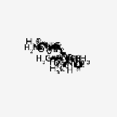 CCCC(=O)OCN(CCCc1nc(C(=O)NCC[C@H](C)C(N)=O)cs1)C(=O)C(NC(C)[C@H]1CCCCN1C)C(C)CC